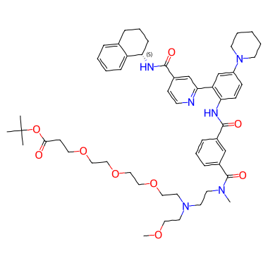 COCCN(CCOCCOCCOCCC(=O)OC(C)(C)C)CCN(C)C(=O)c1cccc(C(=O)Nc2ccc(N3CCCCC3)cc2-c2cc(C(=O)N[C@H]3CCCc4ccccc43)ccn2)c1